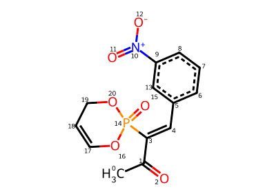 CC(=O)C(=Cc1cccc([N+](=O)[O-])c1)P1(=O)OC=CCO1